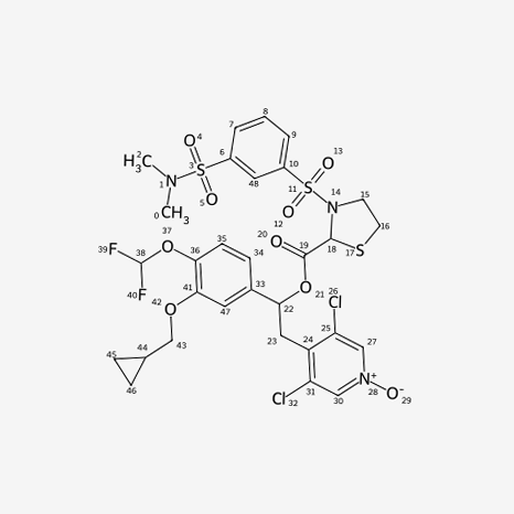 CN(C)S(=O)(=O)c1cccc(S(=O)(=O)N2CCSC2C(=O)OC(Cc2c(Cl)c[n+]([O-])cc2Cl)c2ccc(OC(F)F)c(OCC3CC3)c2)c1